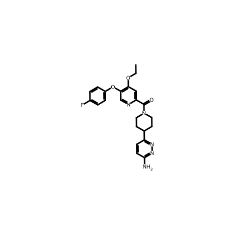 CCOc1cc(C(=O)N2CCC(c3ccc(N)nn3)CC2)ncc1Oc1ccc(F)cc1